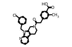 Cc1cc(CC(=O)N2CCc3c(n(Cc4cccc(Cl)c4)c4ncccc34)C2)ccc1C(=O)O